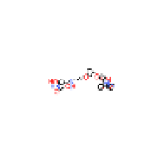 O=C(O)N(C(c1ccccc1)c1cccc(OCc2cccc(OCCCCCNC[C@@H](O)c3ccc(O)c4[nH]c(=O)ccc34)c2)c1)[C@H]1CN2CCC1CC2